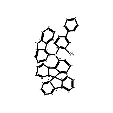 Cc1cc(-c2ccccc2)ccc1N(c1cccc2c1C1C=CC=CC1C21c2ccccc2-c2ccccc21)c1cccc2sc3ccccc3c12